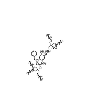 [N-]=[N+]=NCC(CCN/C=C1/C=C(NC(=O)OC(CN=[N+]=[N-])(CN=[N+]=[N-])CN=[N+]=[N-])C(OCc2ccccc2)=CC1N)(CN=[N+]=[N-])N=O